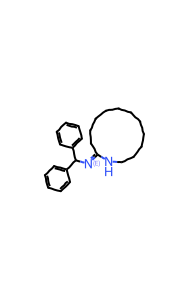 c1ccc(C(/N=C2\CCCCCCCCCCCN2)c2ccccc2)cc1